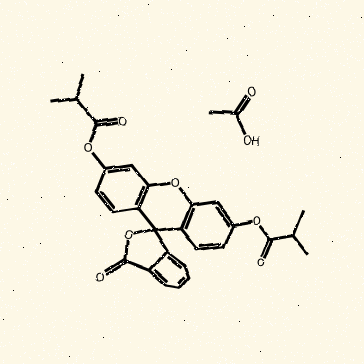 CC(=O)O.CC(C)C(=O)Oc1ccc2c(c1)Oc1cc(OC(=O)C(C)C)ccc1C21OC(=O)c2ccccc21